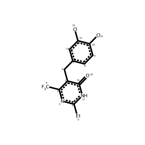 CCc1nc(C(F)(F)F)c(Cc2ccc(Cl)c(Cl)c2)c(=O)[nH]1